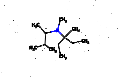 CCC(C)(CC)N(C)C(C)C(C)C